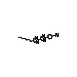 CCCCCCCc1cnc(-c2cnc(-c3ccc(C#N)cc3)nc2)nc1